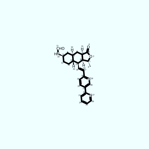 C[C@H]1OC(=O)[C@@H]2C[C@@H]3C[C@H](NC=O)CC[C@H]3[C@H](/C=C/c3ccc(-c4ccccn4)cn3)[C@H]12